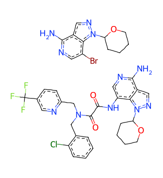 Nc1ncc(Br)c2c1cnn2C1CCCCO1.Nc1ncc(NC(=O)C(=O)N(Cc2ccc(C(F)(F)F)cn2)Cc2ccccc2Cl)c2c1cnn2C1CCCCO1